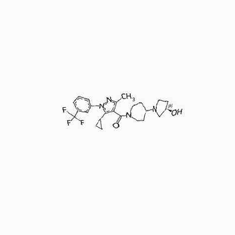 Cc1nn(-c2cccc(C(F)(F)F)c2)c(C2CC2)c1C(=O)N1CCC(N2CC[C@@H](O)C2)CC1